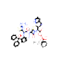 CC1(C(=O)OCOC(=O)C2=C(/C=C\c3cccnc3)CS[C@H]3[C@H](NC(=O)C(=NOC(c4ccccc4)(c4ccccc4)c4ccccc4)c4csc(N)n4)C(=O)N23)CCCCC1